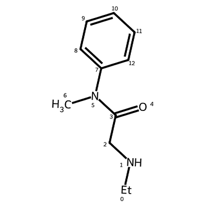 CCNCC(=O)N(C)c1ccccc1